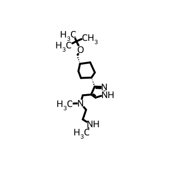 CNCCN(C)Cc1c[nH]nc1[C@H]1CC[C@@H](COC(C)(C)C)CC1